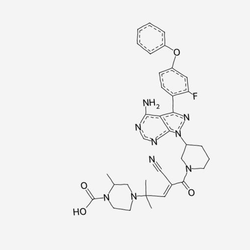 CC1CN(C(C)(C)C=C(C#N)C(=O)N2CCCC(n3nc(-c4ccc(Oc5ccccc5)cc4F)c4c(N)ncnc43)C2)CCN1C(=O)O